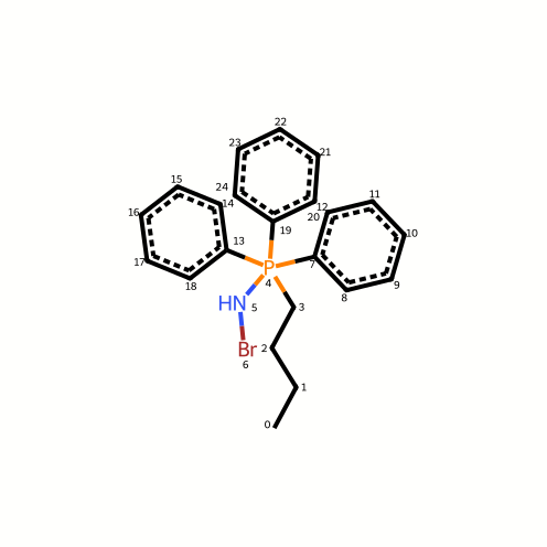 CCCCP(NBr)(c1ccccc1)(c1ccccc1)c1ccccc1